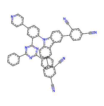 N#Cc1ccc(-c2ccc3c(c2)c2cc(-c4ccc(C#N)cc4C#N)ccc2n3-c2ccc(-c3ccncc3)cc2-c2nc(-c3ccccc3)nc(-c3ccccc3)n2)c(C#N)c1